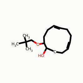 CC(C)(C)COC1CCC=CCCC=CCCC1O